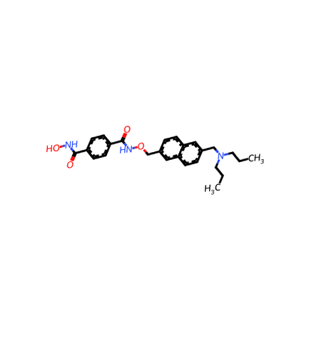 CCCN(CCC)Cc1ccc2cc(CONC(=O)c3ccc(C(=O)NO)cc3)ccc2c1